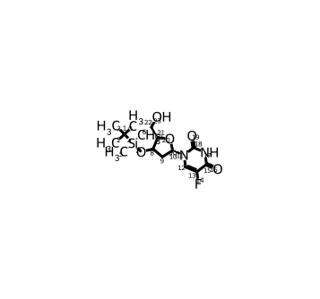 CC(C)(C)[Si](C)(C)OC1C[C@H](n2cc(F)c(=O)[nH]c2=O)O[C@@H]1CO